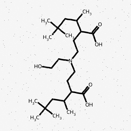 CC(CC(C)(C)C)C(CCN(CCO)CCC(C(=O)O)C(C)CC(C)(C)C)C(=O)O